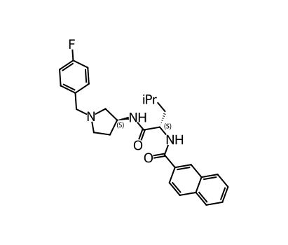 CC(C)C[C@H](NC(=O)c1ccc2ccccc2c1)C(=O)N[C@H]1CCN(Cc2ccc(F)cc2)C1